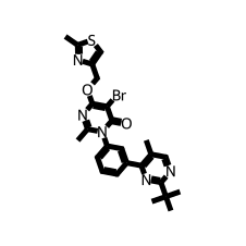 Cc1nc(COc2nc(C)n(-c3cccc(-c4nc(C(C)(C)C)ncc4C)c3)c(=O)c2Br)cs1